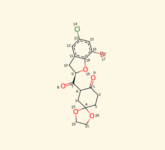 O=C1CCC2(CC1C(=O)[C@H]1Cc3cc(Cl)cc(Br)c3O1)OCCO2